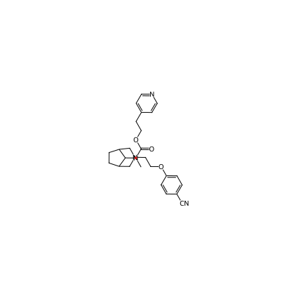 CN(C(=O)OCCc1ccncc1)C1C2CCC1CN(CCOc1ccc(C#N)cc1)C2